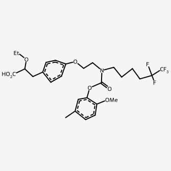 CCOC(Cc1ccc(OCCN(CCCCC(F)(F)C(F)(F)F)C(=O)Oc2cc(C)ccc2OC)cc1)C(=O)O